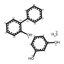 Oc1cccc(O)c1.Oc1ccccc1-c1ccccc1.S